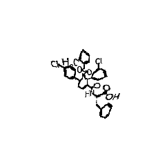 Cc1ccccc1S(=O)(=O)N1C(c2ccc(Cl)cc2)CC=C(C(=O)N[C@@H](Cc2ccccc2)C(=O)O)C1c1cccc(Cl)c1